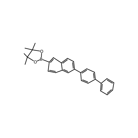 CC1(C)OB(c2ccc3cc(-c4ccc(-c5ccccc5)cc4)ccc3c2)OC1(C)C